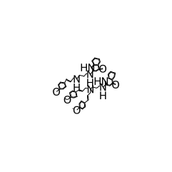 COc1ccc(C=CCN(CC=Cc2ccc(OC)cc2)CCCNc2cc(=O)c3ccccc3[nH]2)cc1.COc1ccc(C=CCNCCCNc2cc(=O)c3ccccc3[nH]2)cc1